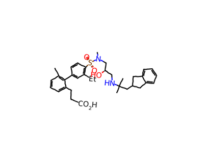 CCc1cc(-c2c(C)cccc2CCC(=O)O)ccc1S(=O)(=O)N(C)C[C@H](O)CNC(C)(C)CC1Cc2ccccc2C1